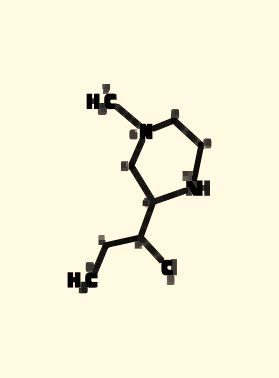 CCC(Cl)C1CN(C)CCN1